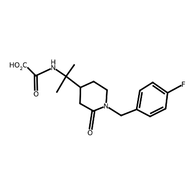 CC(C)(NC(=O)C(=O)O)C1CCN(Cc2ccc(F)cc2)C(=O)C1